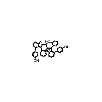 O=C(c1sc2cccc(-c3ccc(O)cc3)c2c1-c1ccccc1O)c1sc2cccc(-c3ccc(O)cc3)c2c1-c1ccccc1O